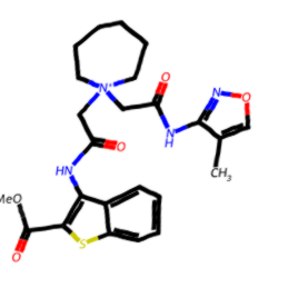 COC(=O)c1sc2ccccc2c1NC(=O)C[N+]1(CC(=O)Nc2nocc2C)CCCCCC1